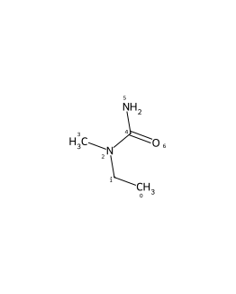 C[CH]N(C)C(N)=O